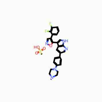 CN1CCN(c2ccc(-c3cnc4[nH]cc(-c5oncc5-c5cccc(F)c5F)c4c3)cc2)CC1.CS(=O)(=O)O